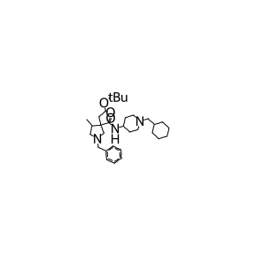 CC1CN(Cc2ccccc2)CC1(CC(=O)OC(C)(C)C)C(=O)NC1CCN(CC2CCCCC2)CC1